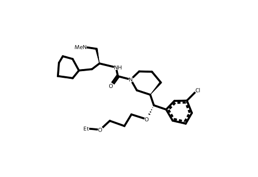 CCOCCCO[C@@H](c1cccc(Cl)c1)[C@@H]1CCCN(C(=O)N[C@H](CNC)CC2CCCCC2)C1